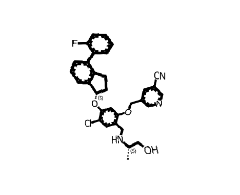 C[C@@H](CO)NCc1cc(Cl)c(O[C@H]2CCc3c(-c4ccccc4F)cccc32)cc1OCc1cncc(C#N)c1